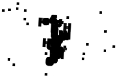 CC1(C)CCC(CN2CCN(c3ccc(C(=O)NS(=O)(=O)c4ccc(NC[C@H]5COCCO5)c([N+](=O)[O-])c4)c(Oc4cnc5[nH]ccc5c4)c3)CC2)=C(c2cc(-c3ccc(F)cc3)cs2)C1